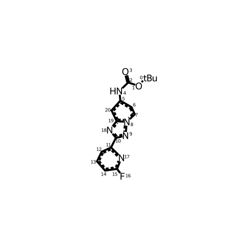 CC(C)(C)OC(=O)Nc1ccn2nc(-c3cccc(F)n3)nc2c1